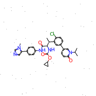 CC(c1cc(-c2ccc(=O)n(C(C)C)c2)ccc1Cl)C(NC(=O)OC1CC1)C(=O)Nc1ccc(-c2cncn2C)cc1